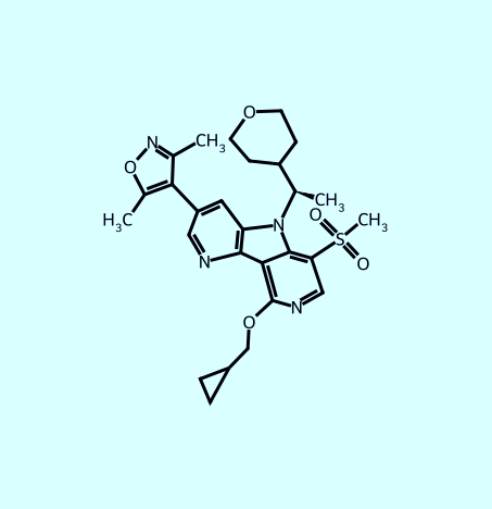 Cc1noc(C)c1-c1cnc2c3c(OCC4CC4)ncc(S(C)(=O)=O)c3n([C@H](C)C3CCOCC3)c2c1